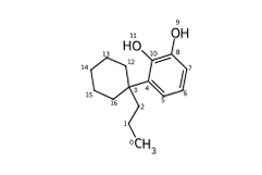 CCCC1(c2cccc(O)c2O)CCCCC1